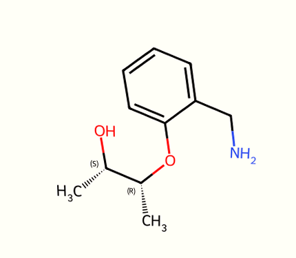 C[C@H](O)[C@@H](C)Oc1ccccc1CN